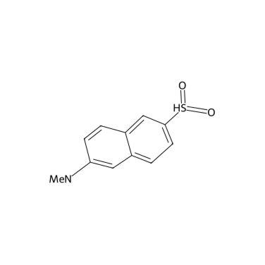 CNc1ccc2cc([SH](=O)=O)ccc2c1